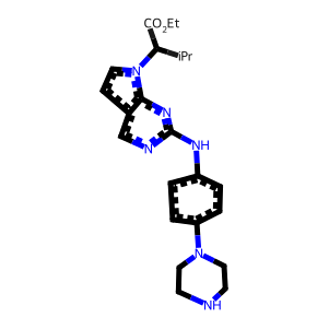 CCOC(=O)C(C(C)C)n1ccc2cnc(Nc3ccc(N4CCNCC4)cc3)nc21